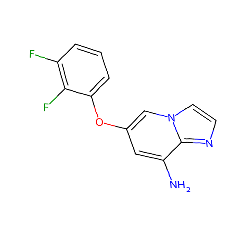 Nc1cc(Oc2cccc(F)c2F)cn2ccnc12